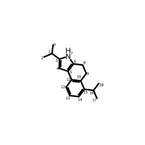 CC(C)c1cc2c([nH]1)CCc1c-2cccc1C(C)C